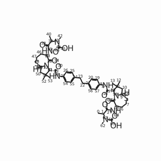 CC(C(=O)N[C@H]1CCS[C@H]2CC(C)(C)[C@@H](C(=O)Nc3ccc(CCc4ccc(NC(=O)[C@H]5N6C(=O)[C@@H](NC(=O)C(C)N(C)C(=O)O)CCS[C@H]6CC5(C)C)cc4)cc3)N2C1=O)N(C)C(=O)O